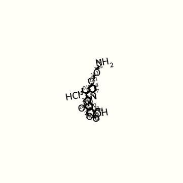 CCc1c2c(nc3ccc(OCCOCCN)cc13)-c1cc3c(c(=O)n1C2)COC(=O)[C@]3(O)CC.Cl